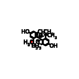 Cc1cc(O)cc(C(C)(C)C)c1S(=O)(=O)c1c(C)cc(O)cc1C(C)(C)C